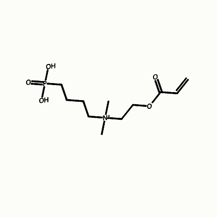 C=CC(=O)OCC[N+](C)(C)CCCCP(=O)(O)O